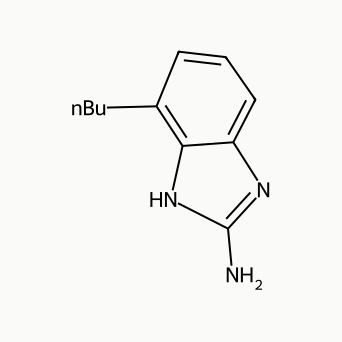 CCCCc1cccc2nc(N)[nH]c12